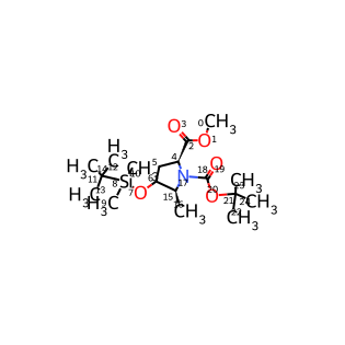 COC(=O)[C@@H]1CC(O[Si](C)(C)C(C)(C)C)[C@H](C)N1C(=O)OC(C)(C)C